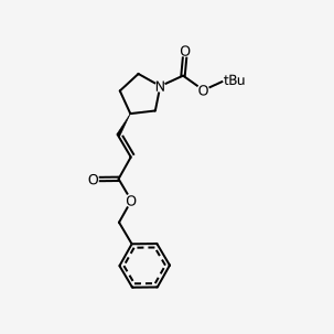 CC(C)(C)OC(=O)N1CC[C@H](C=CC(=O)OCc2ccccc2)C1